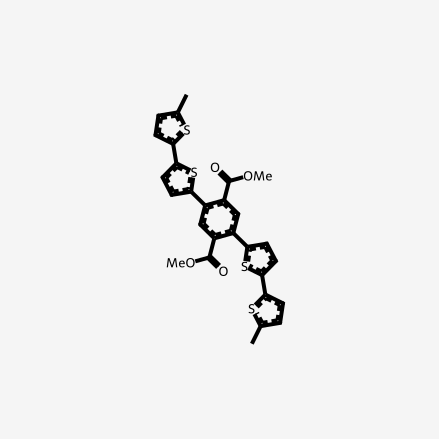 COC(=O)c1cc(-c2ccc(-c3ccc(C)s3)s2)c(C(=O)OC)cc1-c1ccc(-c2ccc(C)s2)s1